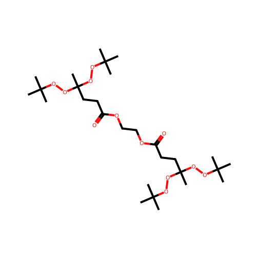 CC(C)(C)OOC(C)(CCC(=O)OCCOC(=O)CCC(C)(OOC(C)(C)C)OOC(C)(C)C)OOC(C)(C)C